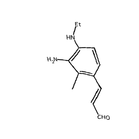 CCNc1ccc(/C=C/C=O)c(C)c1N